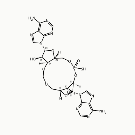 Nc1ncnc2c1ncn2[C@@H]1O[C@@H]2COP(=O)(S)O[C@@H]3[C@H](O)[C@@H](COCO[C@H]2[C@H]1O)O[C@H]3n1cnc2c(N)ncnc21